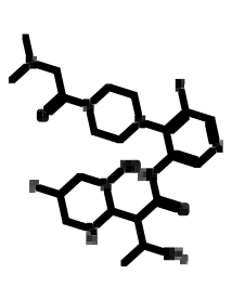 CC(N)C(C(=O)Nc1cncc(F)c1N1CCN(C(=O)CN(C)C)CC1)C1NCC(F)CN1N=O